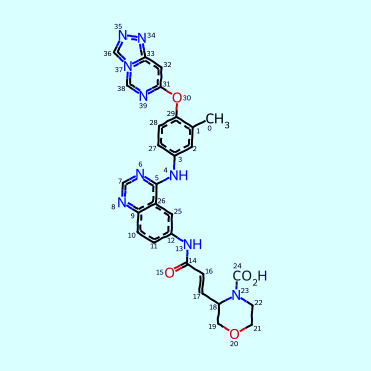 Cc1cc(Nc2ncnc3ccc(NC(=O)/C=C/C4COCCN4C(=O)O)cc23)ccc1Oc1cc2nncn2cn1